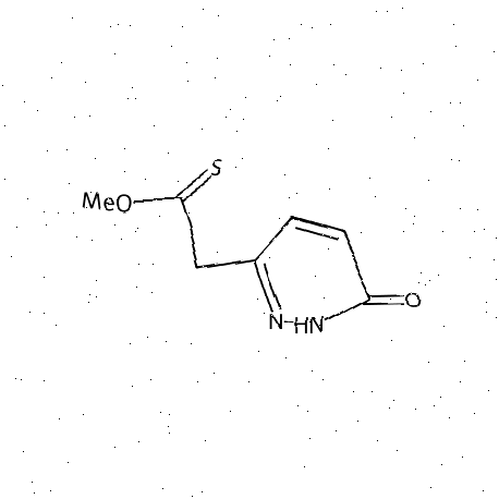 COC(=S)Cc1ccc(=O)[nH]n1